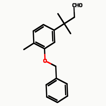 Cc1ccc(C(C)(C)CC=O)cc1OCc1ccccc1